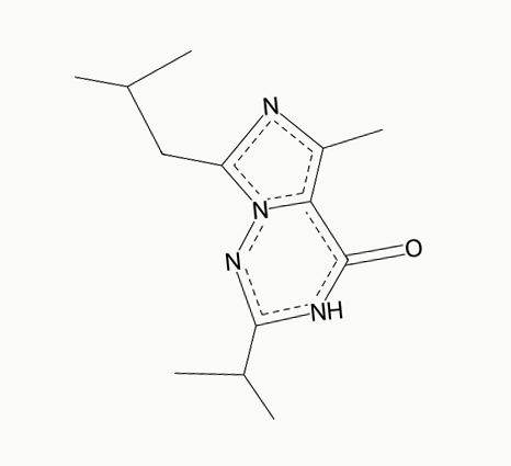 Cc1nc(CC(C)C)n2nc(C(C)C)[nH]c(=O)c12